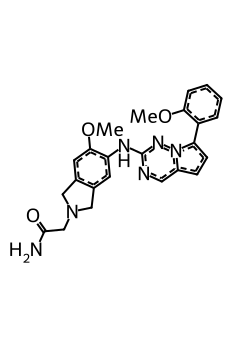 COc1cc2c(cc1Nc1ncc3ccc(-c4ccccc4OC)n3n1)CN(CC(N)=O)C2